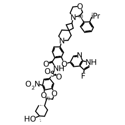 CC(C)c1ccccc1[C@@H]1COCCN1C1CC2(CCN(c3ccc(C(=O)NS(=O)(=O)c4cc5c(c([N+](=O)[O-])c4)O[C@H]([C@H]4CC[C@](C)(O)CC4)CO5)c(Oc4cnc5[nH]cc(F)c5c4)c3)CC2)C1